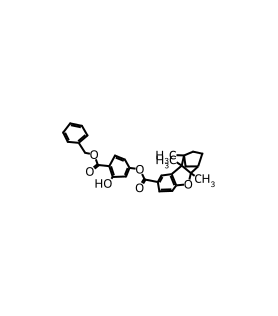 CC12CCC(C1)C1(C)Oc3ccc(C(=O)Oc4ccc(C(=O)OCc5ccccc5)c(O)c4)cc3C21C